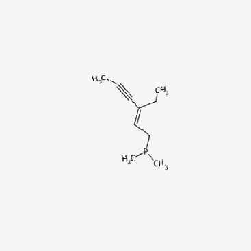 CC#C/C(=C/CP(C)C)CC